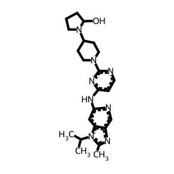 Cc1nc2cnc(Nc3ccnc(N4CCC(N5CCCC5O)CC4)n3)cc2n1C(C)C